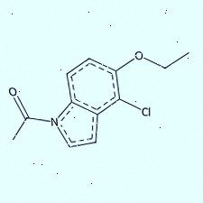 CCOc1ccc2c(ccn2C(C)=O)c1Cl